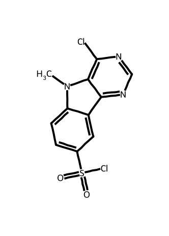 Cn1c2ccc(S(=O)(=O)Cl)cc2c2ncnc(Cl)c21